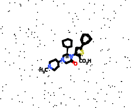 CN1CCC(N2CC(=O)N(c3cc(-c4ccccc4)sc3C(=O)O)[C@H](C3CCCCC3)C2)CC1